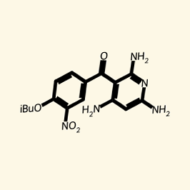 CC(C)COc1ccc(C(=O)c2c(N)cc(N)nc2N)cc1[N+](=O)[O-]